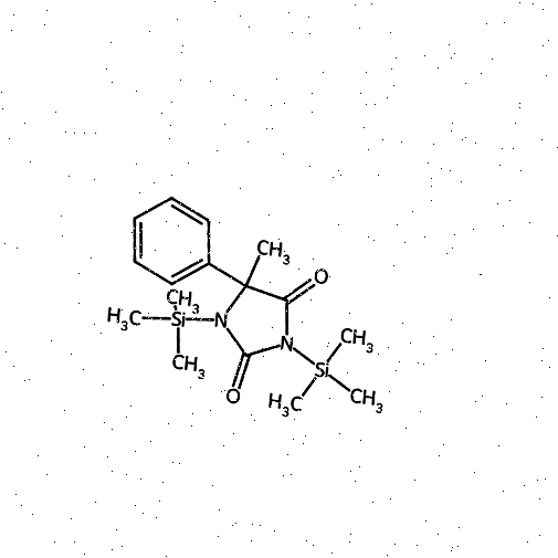 CC1(c2ccccc2)C(=O)N([Si](C)(C)C)C(=O)N1[Si](C)(C)C